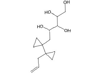 C=CCC1(C2(CC(O)C(O)C(O)CO)CC2)CC1